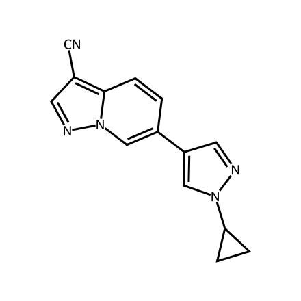 N#Cc1cnn2cc(-c3cnn(C4CC4)c3)ccc12